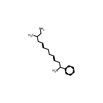 CC(CN)CC=CCCC=CCC(N)c1ccccc1